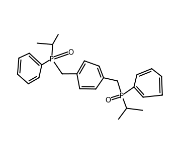 CC(C)P(=O)(Cc1ccc(CP(=O)(c2ccccc2)C(C)C)cc1)c1ccccc1